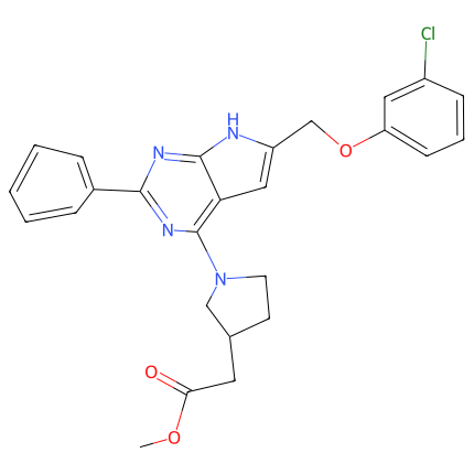 COC(=O)CC1CCN(c2nc(-c3ccccc3)nc3[nH]c(COc4cccc(Cl)c4)cc23)C1